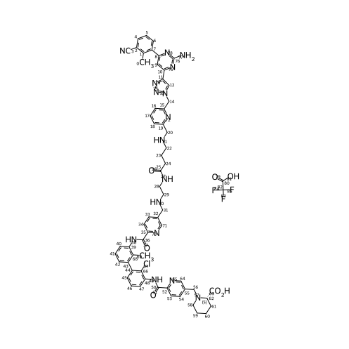 Cc1c(C#N)cccc1-c1cc(-c2cn(Cc3cccc(CNCCCC(=O)NCCNCc4ccc(C(=O)Nc5cccc(-c6cccc(NC(=O)c7ccc(CN8CCCC[C@H]8C(=O)O)cn7)c6Cl)c5C)nc4)n3)nn2)nc(N)n1.O=C(O)C(F)(F)F